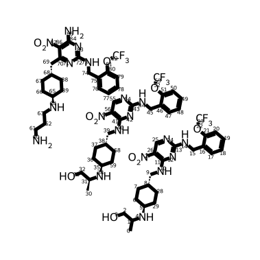 CC(CO)N[C@H]1CC[C@H](CNc2nc(NCc3ccccc3OC(F)(F)F)ncc2[N+](=O)[O-])CC1.C[C@@H](CO)N[C@H]1CC[C@H](CNc2nc(NCc3ccccc3OC(F)(F)F)ncc2[N+](=O)[O-])CC1.NCCCN[C@H]1CC[C@H](Cc2nc(NCc3ccccc3OC(F)(F)F)nc(N)c2[N+](=O)[O-])CC1